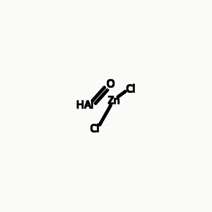 [Cl][Zn][Cl].[O]=[AlH]